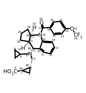 O=C(O)[C@@H]1C[C@H]1CN(C1CC1)[C@H]1c2ccccc2N(C(=O)c2ccc(OC(F)(F)F)cc2)[C@@H]2CCC[C@@H]21